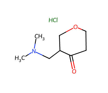 CN(C)CC1COCCC1=O.Cl